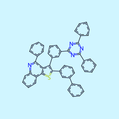 c1ccc(-c2cccc(-c3sc4c(c(-c5ccccc5)nc5ccccc54)c3-c3cccc(-c4nc(-c5ccccc5)nc(-c5ccccc5)n4)c3)c2)cc1